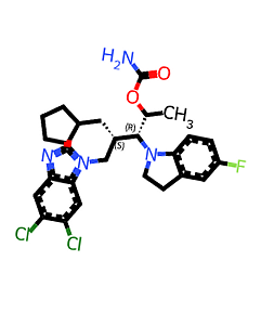 CC(OC(N)=O)[C@@H]([C@@H](CC1CCCC1)Cn1cnc2cc(Cl)c(Cl)cc21)N1CCc2cc(F)ccc21